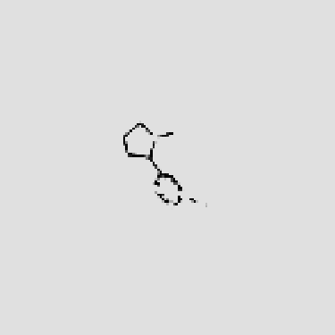 CN1CCCC1c1cn(C(C)(C)C)nn1